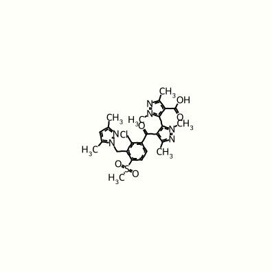 Cc1cc(C)n(Cc2c(S(C)(=O)=O)ccc(C(=O)c3c(C)nn(C)c3-c3c(C(=O)O)c(C)nn3C)c2Cl)n1